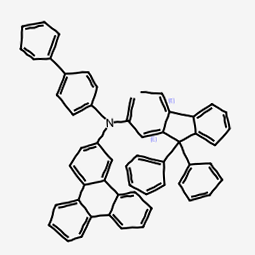 C=C(/C=C1\C(=C/C)c2ccccc2C1(c1ccccc1)c1ccccc1)N(c1ccc(-c2ccccc2)cc1)c1ccc2c3ccccc3c3ccccc3c2c1